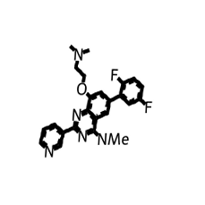 CNc1nc(-c2cccnc2)nc2c(OCCN(C)C)cc(-c3cc(F)ccc3F)cc12